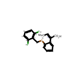 CO/C=C(/C(=O)O)c1ccccc1SCc1c(F)cccc1F